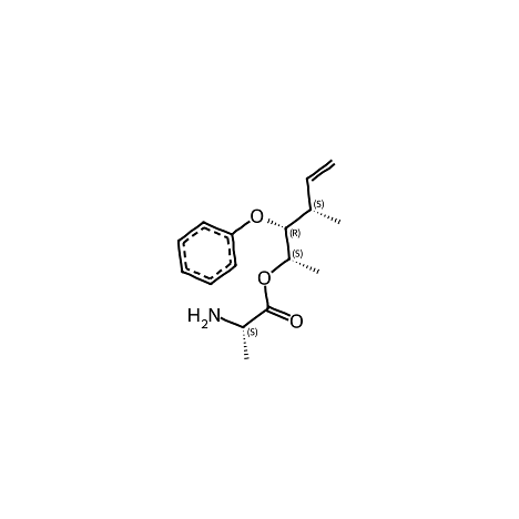 C=C[C@H](C)[C@@H](Oc1ccccc1)[C@H](C)OC(=O)[C@H](C)N